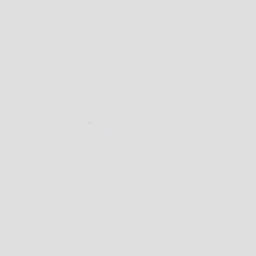 C=C(S/C(C#N)=C(\C)Cc1cc(C)c(I)cc1C)c1ccc2c(c1)CCCC2